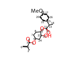 C=C(C)C(=O)OC1CCC(OC(=O)C(C)c2ccc(OC)cc2)C(O)C1